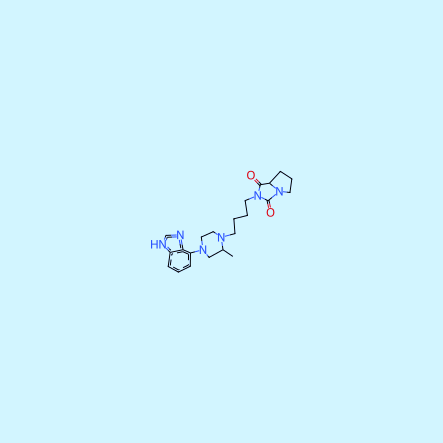 CC1CN(c2cccc3[nH]cnc23)CCN1CCCCN1C(=O)C2CCCN2C1=O